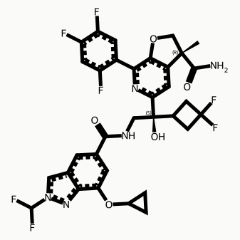 C[C@]1(C(N)=O)COc2c1cc([C@@](O)(CNC(=O)c1cc(OC3CC3)c3nn(C(F)F)cc3c1)C1CC(F)(F)C1)nc2-c1cc(F)c(F)cc1F